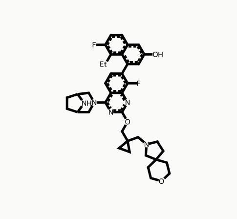 CCc1c(F)ccc2cc(O)cc(-c3ccc4c(N5CC6CCC(C5)N6)nc(OCC5(CN6CCC7(CCOCC7)C6)CC5)nc4c3F)c12